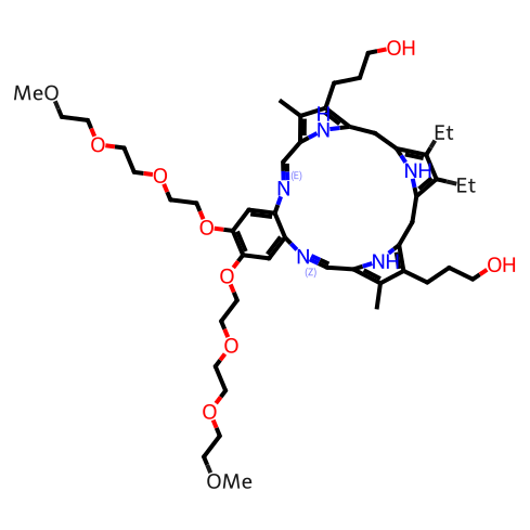 CCc1c2[nH]c(c1CC)Cc1[nH]c(c(C)c1CCCO)/C=N/c1cc(OCCOCCOCCOC)c(OCCOCCOCCOC)cc1/N=C\c1[nH]c(c(CCCO)c1C)C2